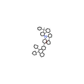 CC1(c2ccccc2)c2ccccc2-c2c(N(c3ccc(-c4ccc5c(c4)c(-c4ccccc4)c(-c4ccccc4)c4ccccc45)cc3)c3ccccc3-c3ccccc3)cccc21